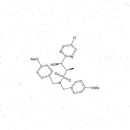 COc1ccc(CN(Cc2ccc(OC)cc2)S(=O)(=O)[C@H](C)[C@@H](O)c2ncc(Cl)cn2)cc1